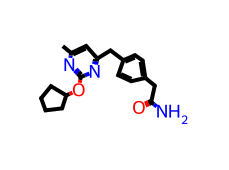 Cc1cc(Cc2ccc(CC(N)=O)cc2)nc(OC2CCCC2)n1